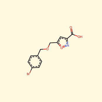 O=C(O)c1cc(COCc2ccc(Br)cc2)on1